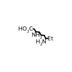 CCC(N)CCCC(N)CC(=O)O